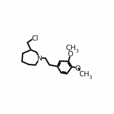 COc1ccc(CCN2CCCCC(CCl)C2)cc1OC